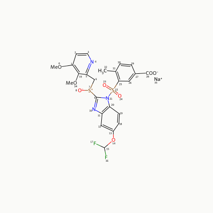 COc1ccnc(C[S+]([O-])c2nc3cc(OC(F)F)ccc3n2S(=O)(=O)c2cc(C(=O)[O-])ccc2C)c1OC.[Na+]